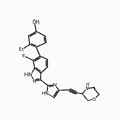 CCc1cc(O)ccc1-c1ccc2c(-c3nc(C#CC4COCCN4)c[nH]3)n[nH]c2c1F